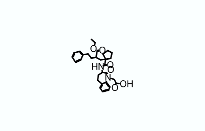 CCOC(=O)C(CCc1ccccc1)CC1(C(=O)NC2CCc3ccccc3N(CC(=O)O)C2=O)CCCC1